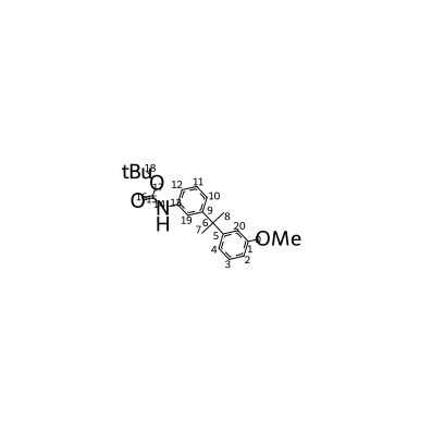 COc1cccc(C(C)(C)c2cccc(NC(=O)OC(C)(C)C)c2)c1